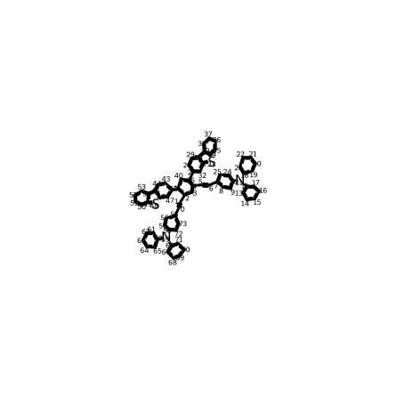 C(#Cc1cc(C#Cc2ccc(N(c3ccccc3)c3ccccc3)cc2)c(-c2ccc3c(c2)sc2ccccc23)cc1-c1ccc2c(c1)sc1ccccc12)c1ccc(N(c2ccccc2)c2ccccc2)cc1